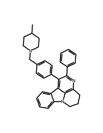 CC1CCN(Cc2ccc(-c3c(-c4ccccc4)nc4c5c3c3ccccc3n5CCC4)cc2)CC1